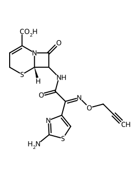 C#CCON=C(C(=O)NC1C(=O)N2C(C(=O)O)=CCS[C@@H]12)c1csc(N)n1